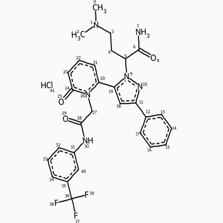 CN(C)CCC(C(N)=O)n1nc(-c2ccccc2)cc1-c1cccc(=O)n1CC(=O)Nc1cccc(C(F)(F)F)c1.Cl